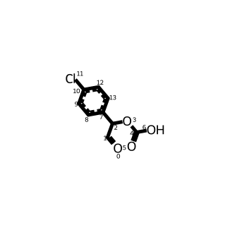 O=CC(OC(=O)O)c1ccc(Cl)cc1